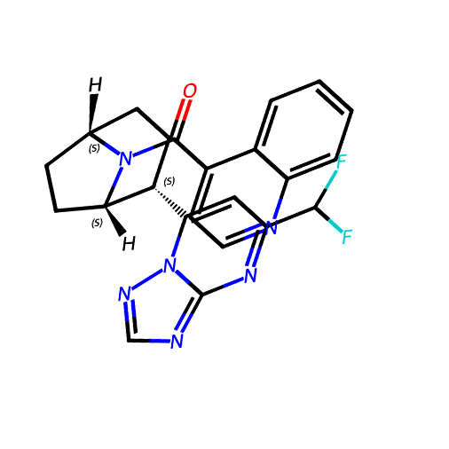 O=C(c1ccnc2ccccc12)N1[C@H]2CC[C@H](c3cc(C(F)F)nc4ncnn34)[C@@H]1CC2